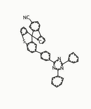 N#Cc1ccc2c(c1)C1(c3ccccc3Sc3ccc(-c4ccc(-c5nc(-c6ccccc6)nc(-c6ccccc6)n5)cc4)cc31)c1ccccc1-2